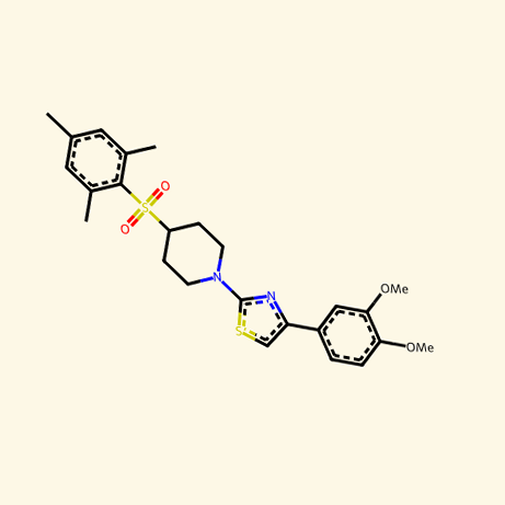 COc1ccc(-c2csc(N3CCC(S(=O)(=O)c4c(C)cc(C)cc4C)CC3)n2)cc1OC